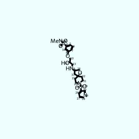 CNS(=O)(=O)c1cccc(OC[C@@H](O)CNC2COC3(CCN(S(=O)(=O)c4cccnc4)CC3)C2)c1